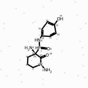 NN1CCC[C@](N)([PH](=O)Nc2ccc(O)cc2)C1=O